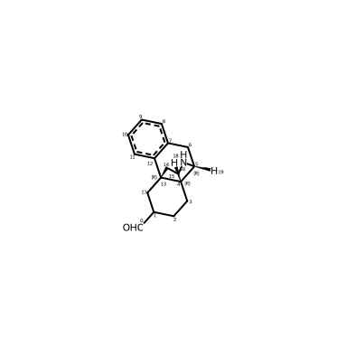 O=CC1CC[C@H]2[C@H]3Cc4ccccc4[C@@]2(CCN3)C1